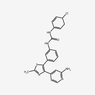 Cc1nc(-c2ccnc(N)c2)c(-c2cccc(NC(=O)NC3=CCC(Cl)C=C3)c2)s1